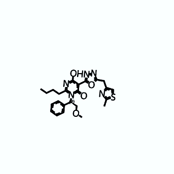 CCCCc1nc(O)c(-c2nnc(Cc3csc(C)n3)o2)c(=O)n1[C@@H](COC)c1ccccc1